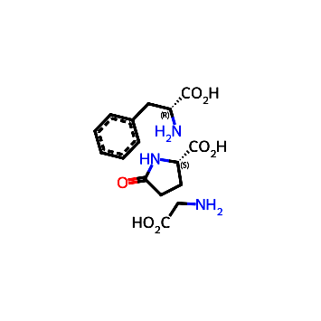 NCC(=O)O.N[C@H](Cc1ccccc1)C(=O)O.O=C1CC[C@@H](C(=O)O)N1